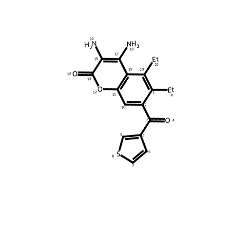 CCc1c(C(=O)c2ccsc2)cc2oc(=O)c(N)c(N)c2c1CC